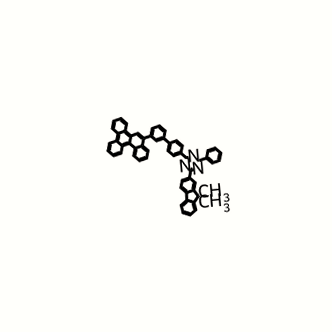 CC1(C)c2ccccc2-c2ccc(-c3nc(-c4ccccc4)nc(-c4ccc(-c5cccc(-c6cc7c8ccccc8c8ccccc8c7c7ccccc67)c5)cc4)n3)cc21